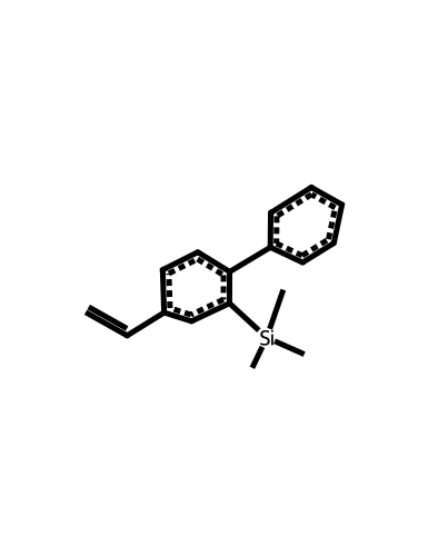 C=Cc1ccc(-c2ccccc2)c([Si](C)(C)C)c1